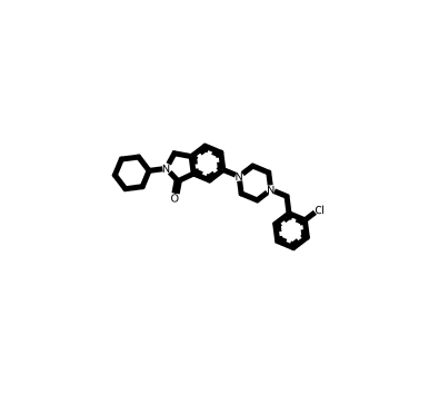 O=C1c2cc(N3CCN(Cc4ccccc4Cl)CC3)ccc2CN1C1CCCCC1